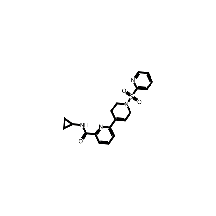 O=C(NC1CC1)c1cccc(C2=CCN(S(=O)(=O)c3ccccn3)CC2)n1